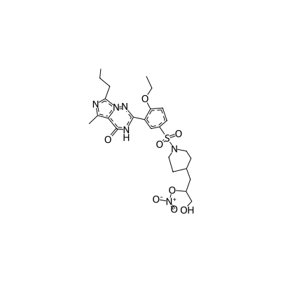 CCCc1nc(C)c2c(=O)[nH]c(-c3cc(S(=O)(=O)N4CCC(CC(CO)O[N+](=O)[O-])CC4)ccc3OCC)nn12